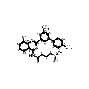 CCN(CC)CCCC(C)Nc1nc(-c2cc(-c3ccc(C(F)(F)F)cc3)cc(C(F)(F)F)c2)nc2c(C)cccc12